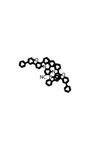 N#Cc1cc(-n2c3ccccc3c3c4oc5ccc(-c6ccccc6)cc5c4ccc32)c(-c2ccccc2)c(-n2c3ccccc3c3c4oc5ccc(-c6ccccc6)cc5c4ccc32)c1-n1c2ccccc2c2ccccc21